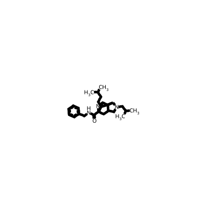 CC(C)CCC1C2C3C=NC1(C(=O)NCc1ccccc1)CC3CN2CC(C)C